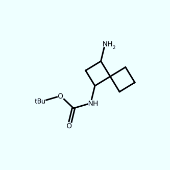 CC(C)(C)OC(=O)NC1CC(N)C12CCC2